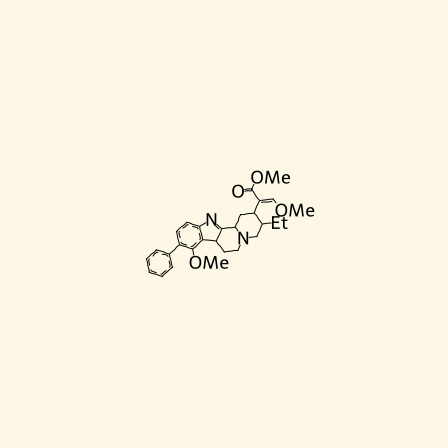 CCC1CN2CCC3C(=Nc4ccc(-c5ccccc5)c(OC)c43)C2CC1/C(=C\OC)C(=O)OC